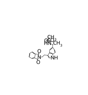 CC(NS(C)(=O)=O)c1ccc2[nH]cc(CCN3C(=O)c4ccccc4C3=O)c2c1